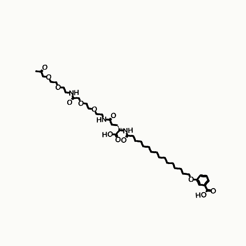 CC(=O)COCCOCCNC(=O)COCCOCCNC(=O)CC[C@H](NC(=O)CCCCCCCCCCCCCCCOc1cccc(C(=O)O)c1)C(=O)O